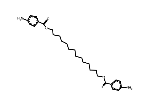 Nc1ccc(C(=O)OCCCCCCCCCCCCCCOC(=O)c2ccc(N)cc2)cc1